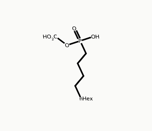 CCCCCCCCCCP(=O)(O)OC(=O)O